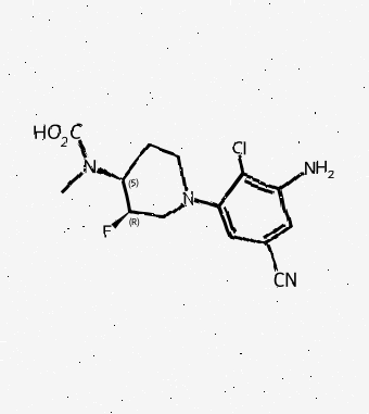 CN(C(=O)O)[C@H]1CCN(c2cc(C#N)cc(N)c2Cl)C[C@H]1F